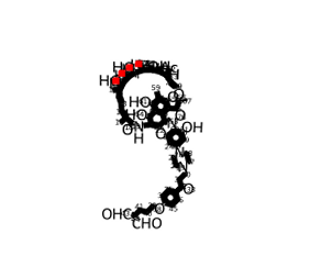 CC(=O)O[C@H]1[C@H](C)[C@H](O)[C@H](C)[C@@H](O)[C@@H](C)/C=C/C=C(/C)C(=O)NC2=C3Oc4cc(N5CCN(CCC(=O)c6ccc(OCCCC(C=O)C=O)cc6)CC5)cc(O)c4N=C3c3c4c(c(C)c(O)c3C2O)O[C@](C)(O/C=C/[C@H](C)[C@H]1C)C4=O